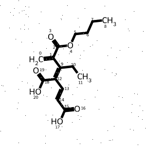 C=C(C(=O)OCCCC)C(CC)=C(C=CC(=O)O)C(=O)O